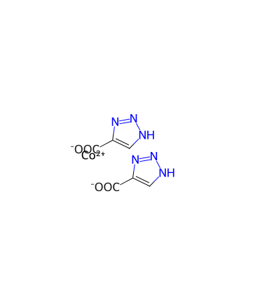 O=C([O-])c1c[nH]nn1.O=C([O-])c1c[nH]nn1.[Co+2]